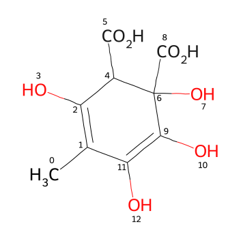 CC1=C(O)C(C(=O)O)C(O)(C(=O)O)C(O)=C1O